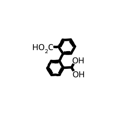 O=C(O)c1ccccc1-c1ccccc1C(O)O